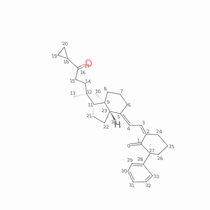 C=C1/C(=C\C=C2/CCC[C@]3(C)[C@@H]([C@H](C)CCC(=O)C4CC4)CC[C@@H]23)CCCC1c1ccccc1